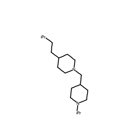 CC(C)CCC1CCN(CC2CCN(C(C)C)CC2)CC1